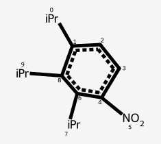 CC(C)c1ccc([N+](=O)[O-])c(C(C)C)c1C(C)C